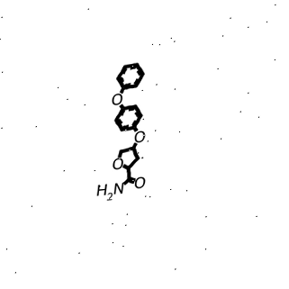 NC(=O)C1[CH]C(Oc2ccc(Oc3ccccc3)cc2)CO1